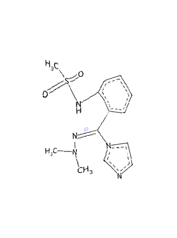 CN(C)/N=C(/c1ccccc1NS(C)(=O)=O)n1ccnc1